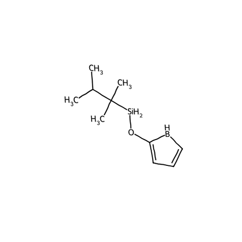 CC(C)C(C)(C)[SiH2]OC1=CC=CB1